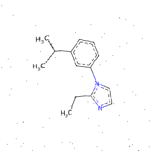 CCc1n[c]cn1-c1cccc(C(C)C)c1